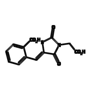 O=C(O)CN1C(=O)SC(=Cc2ccccc2C(=O)O)C1=O